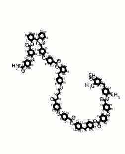 COc1ccc(Cc2ccc(OC(=O)c3ccc(Oc4ccc(C(=O)Oc5ccc(Cc6ccc(OC(=O)c7ccc(Oc8ccc(C(=O)CCCCOc9ccc(Cc%10ccccc%10OC(=O)c%10ccc(Oc%11ccc(C(=O)Oc%12ccccc%12Cc%12ccccc%12OC(=O)c%12ccc(Oc%13ccc(C(C)=O)cc%13)cc%12)cc%11)cc%10)cc9)cc8)cc7)cc6)cc5)cc4)cc3)c(C)c2)cc1C